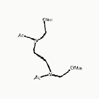 COCN(CCN(COC)C(C)=O)C(C)=O